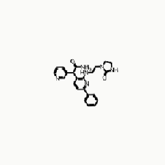 NC(=O)C(c1cccnc1)c1ccc(-c2ccccc2)nc1NCCN1CCNC1=O